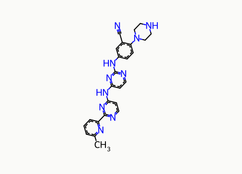 Cc1cccc(-c2nccc(Nc3ccnc(Nc4ccc(N5CCNCC5)c(C#N)c4)n3)n2)n1